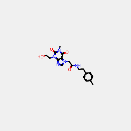 Cc1ccc(CCNC(=O)Cn2cnc3c2c(=O)n(C)c(=O)n3CCO)cc1